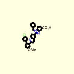 COc1ccc(-c2ccc(Cl)cc2)c(-c2ccc3cc(-c4nc5cc(C(=O)O)ccc5n4Cc4ccccc4)ccc3n2)c1